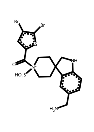 NCc1ccc2c(c1)C1(CC[N+](C(=O)c3cc(Br)c(Br)s3)(S(=O)(=O)O)CC1)CN2